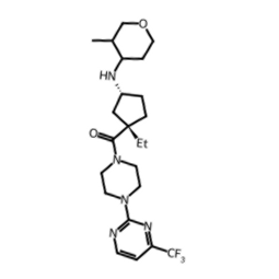 CC[C@]1(C(=O)N2CCN(c3nccc(C(F)(F)F)n3)CC2)CC[C@@H](NC2CCOCC2C)C1